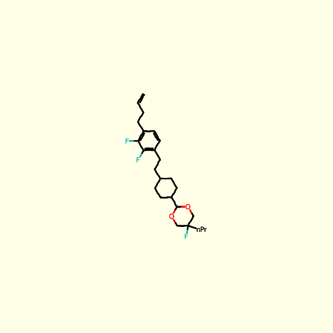 C=CCCc1ccc(CCC2CCC(C3OCC(F)(CCC)CO3)CC2)c(F)c1F